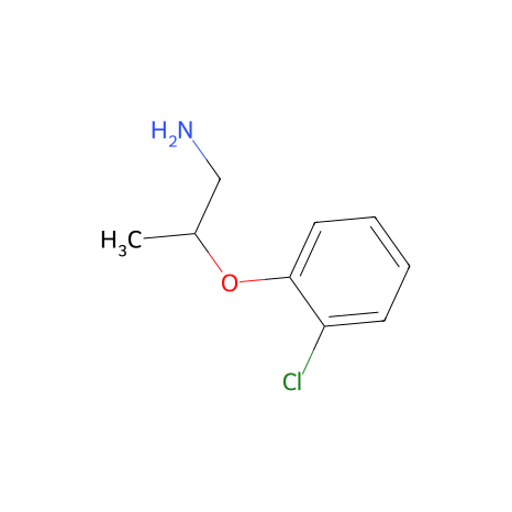 CC(CN)Oc1ccccc1Cl